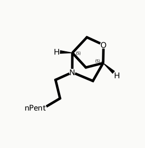 CCCCCCCN1C[C@@H]2C[C@H]1CO2